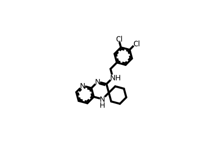 Clc1ccc(CNC2=Nc3ncccc3NC23CCCCC3)cc1Cl